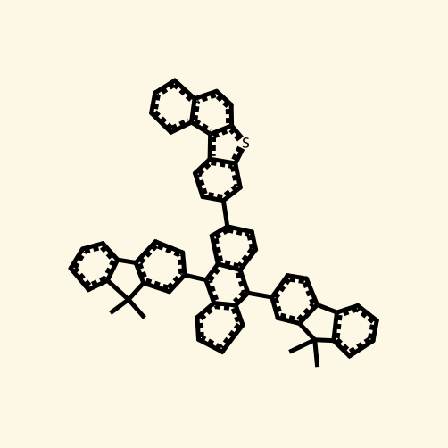 CC1(C)c2ccccc2-c2ccc(-c3c4ccccc4c(-c4ccc5c(c4)C(C)(C)c4ccccc4-5)c4cc(-c5ccc6c(c5)sc5ccc7ccccc7c56)ccc34)cc21